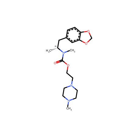 C[C@H](Cc1ccc2c(c1)OCO2)N(C)C(=O)OCCN1CCN(C)CC1